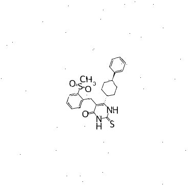 CS(=O)(=O)c1ccccc1Cc1c(=O)[nH]c(=S)[nH]c1[C@H]1CC[C@H](c2ccccc2)CC1